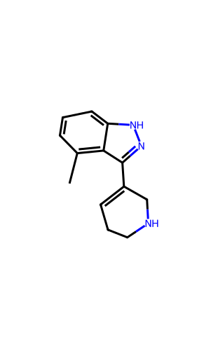 Cc1cccc2[nH]nc(C3=CCCNC3)c12